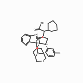 Cc1nc2ccccc2n1C1CC2COCC(C1)N2C[C@H]1CN(C(C(=O)O)C2CCCCC2)C[C@@H]1c1cccc(F)c1